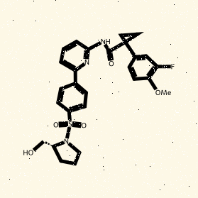 COc1ccc(C2(C(=O)Nc3cccc(-c4ccc(S(=O)(=O)N5CCC[C@@H]5CO)cc4)n3)CC2)cc1F